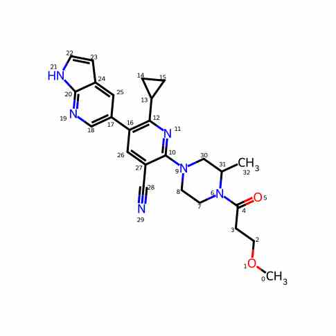 COCCC(=O)N1CCN(c2nc(C3CC3)c(-c3cnc4[nH]ccc4c3)cc2C#N)CC1C